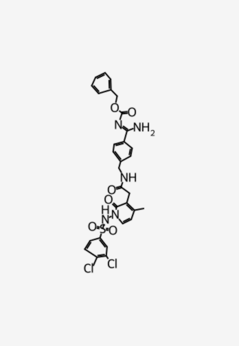 Cc1ccn(NS(=O)(=O)c2ccc(Cl)c(Cl)c2)c(=O)c1CC(=O)NCc1ccc(/C(N)=N/C(=O)OCc2ccccc2)cc1